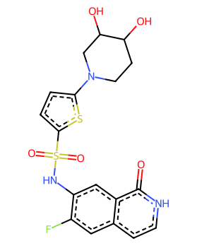 O=c1[nH]ccc2cc(F)c(NS(=O)(=O)c3ccc(N4CCC(O)C(O)C4)s3)cc12